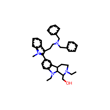 CCN1CCC2c3cc(-c4c(CCN(Cc5ccccc5)Cc5ccccc5)c5ccccc5n4C)ccc3N(CC)C2C1CO